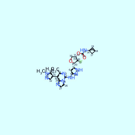 Cc1nc(Nc2cc([C@@H]3OC[C@H](OC(=O)NC45CC(C4)C5)[C@H]3F)[nH]n2)n2ccnc2c1-c1cnn(C)c1C